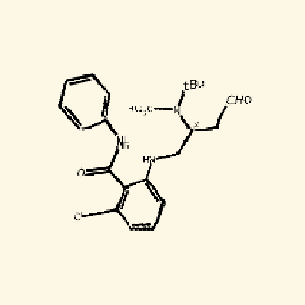 CC(C)(C)N(C(=O)O)[C@@H](CC=O)CNc1cccc(Cl)c1C(=O)Nc1ccccc1